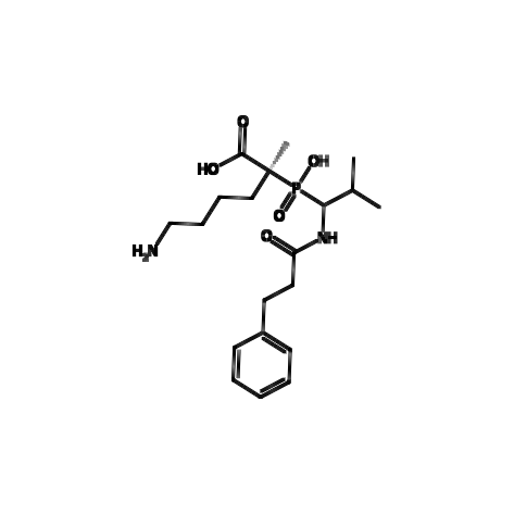 CC(C)C(NC(=O)CCc1ccccc1)P(=O)(O)[C@@](C)(CCCCN)C(=O)O